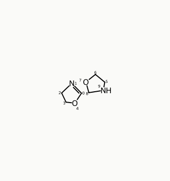 C1=NCCO1.C1COCN1